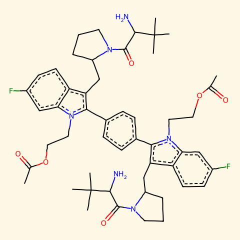 CC(=O)OCCn1c(-c2ccc(-c3c(CC4CCCN4C(=O)C(N)C(C)(C)C)c4ccc(F)cc4n3CCOC(C)=O)cc2)c(CC2CCCN2C(=O)C(N)C(C)(C)C)c2ccc(F)cc21